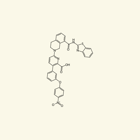 O=C(Nc1nc2ccccc2s1)c1cccc2c1CN(c1ccc(-c3cccc(Oc4ccc([N+](=O)[O-])cc4)c3)c(C(=O)O)n1)CC2